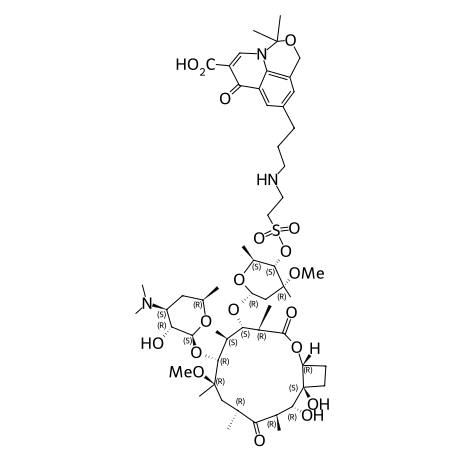 CO[C@]1(C)C[C@@H](C)C(=O)[C@H](C)[C@@H](O)[C@@]2(O)CC[C@H]2OC(=O)[C@H](C)[C@@H](O[C@H]2C[C@@](C)(OC)[C@@H](OS(=O)(=O)CCNCCCc3cc4c5c(c3)c(=O)c(C(=O)O)cn5C(C)(C)OC4)[C@H](C)O2)[C@H](C)[C@H]1O[C@@H]1O[C@H](C)C[C@H](N(C)C)[C@H]1O